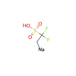 O=S(=O)(O)C(F)(F)[CH2][Na]